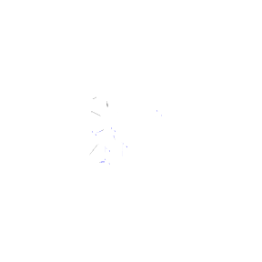 Fc1cccc(F)c1-c1nc(N[C@H]2CC[C@H](N3CCOCC3)CC2)n2nccc2n1